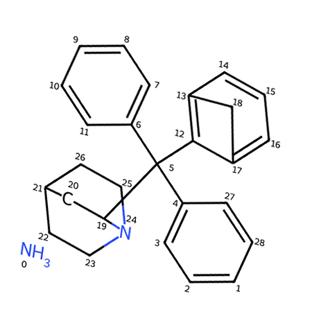 N.c1ccc(C(c2ccccc2)(c2c3cccc2C3)C2CC3CCN2CC3)cc1